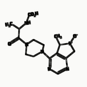 CC(NC(=O)O)C(=O)N1CCN(c2ncnc3c2C(C)[S+]([O-])C3)CC1